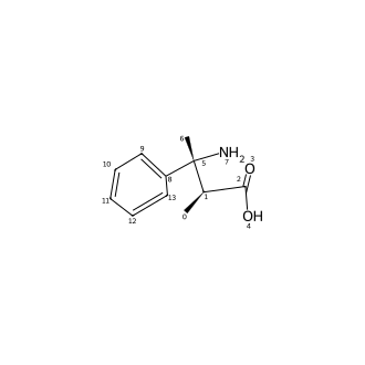 C[C@H](C(=O)O)[C@@](C)(N)c1ccccc1